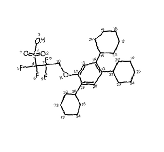 O=S(=O)(O)C(F)(F)C(F)(F)COc1cc(C2CCCCC2)c(C2CCCCC2)cc1C1CCCCC1